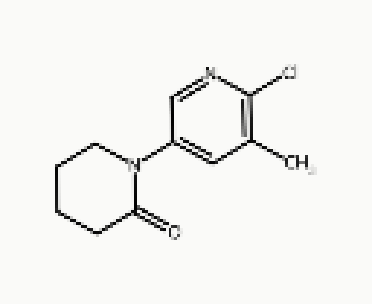 Cc1cc(N2CCCCC2=O)cnc1Cl